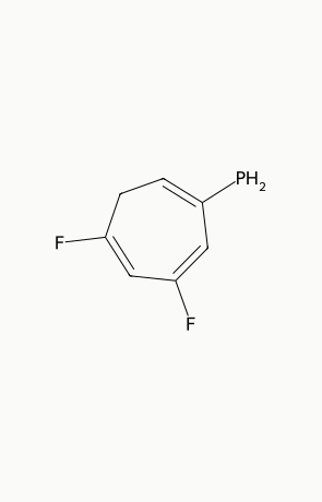 FC1=CC(P)=CCC(F)=C1